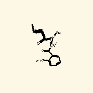 C/C=C/C(=O)N(NC(=O)c1ccccc1OC)C(C)(C)C